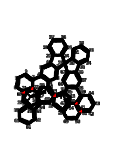 c1ccc(-c2cc3c(cc2N(c2ccccc2)c2ccccc2)C2(c4ccccc4-3)c3ccccc3-c3cc(-c4ccccc4)c(N(c4ccccc4)c4ccc5oc6ccccc6c5c4)cc32)cc1